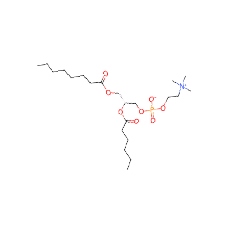 CCCCCCCC(=O)OC[C@H](COP(=O)([O-])OCC[N+](C)(C)C)OC(=O)CCCCC